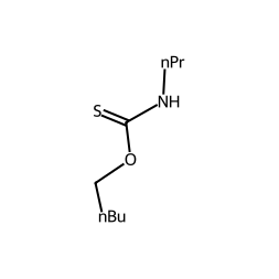 CCCCCOC(=S)NCCC